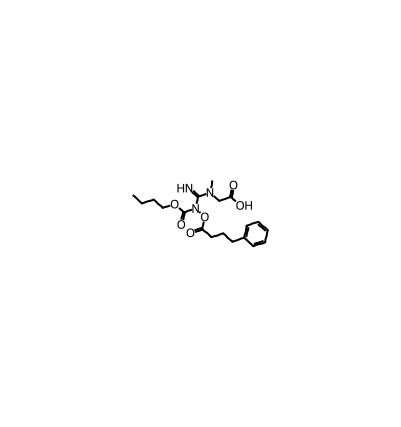 CCCCOC(=O)N(OC(=O)CCCc1ccccc1)C(=N)N(C)CC(=O)O